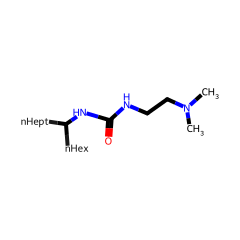 CCCCCCCC(CCCCCC)NC(=O)NCCN(C)C